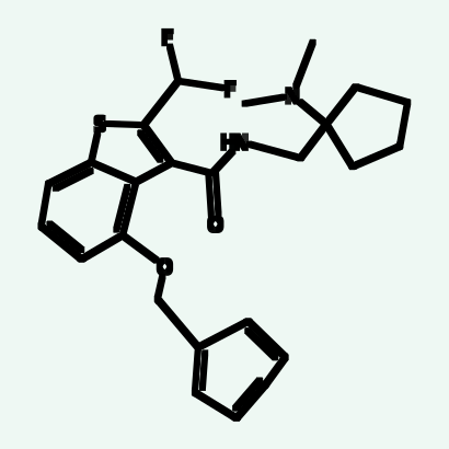 CN(C)C1(CNC(=O)c2c(C(F)F)sc3cccc(OCc4ccccc4)c23)CCCC1